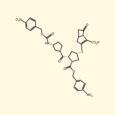 O=C(N[C@@H]1CCN(C(=O)[C@@H]2C[C@H](SC3=C(C(=O)O)N4C(=O)CC4C3)CN2C(=O)OCc2ccc([N+](=O)[O-])cc2)C1)OCc1ccc([N+](=O)[O-])cc1